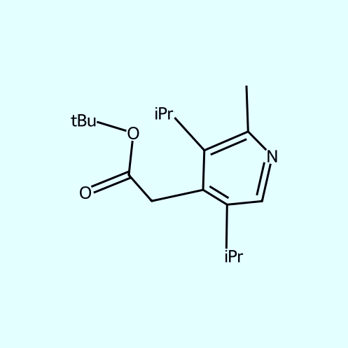 Cc1ncc(C(C)C)c(CC(=O)OC(C)(C)C)c1C(C)C